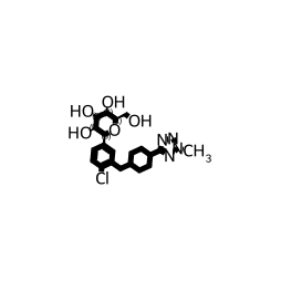 Cn1nnc(C2CCC(Cc3cc([C@@H]4O[C@H](CO)[C@@H](O)[C@H](O)[C@H]4O)ccc3Cl)CC2)n1